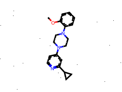 COc1ccccc1N1CCN(c2ccnc(C3CC3)c2)CC1